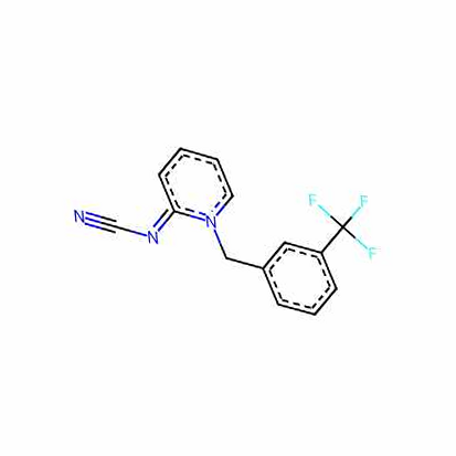 N#C/N=c1\ccccn1Cc1cccc(C(F)(F)F)c1